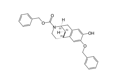 O=C(OCc1ccccc1)N1CC[C@@]23CCCC[C@@H]2[C@@H]1Cc1cc(O)c(OCc2ccccc2)cc13